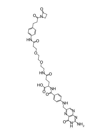 Nc1nc2ncc(CNc3ccc(C(=O)NC(CCC(=O)NCCOCCOCCC(=O)Nc4ccc(CCC(=O)N5CCC5=O)cc4)C(=O)O)cc3)nc2c(=O)[nH]1